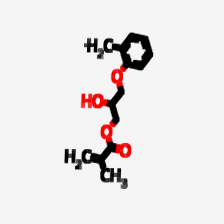 [CH2]c1ccccc1OCC(O)COC(=O)C(=C)C